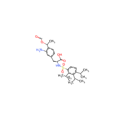 CC(C)c1ccc(S(=O)(=O)N[C@@H](Cc2ccc(C(C)O[C]=O)c(N)c2)C(=O)O)c(C(C)C)c1C(C)C